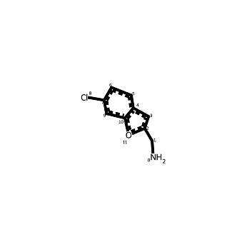 NCc1cc2ccc(Cl)cc2o1